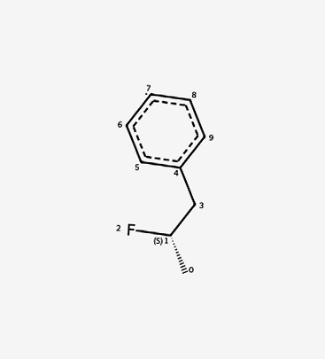 C[C@H](F)Cc1cc[c]cc1